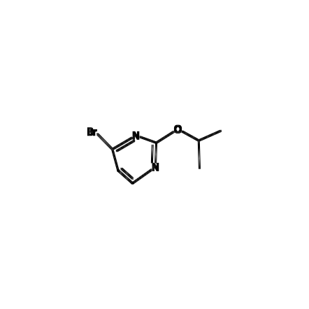 CC(C)Oc1nccc(Br)n1